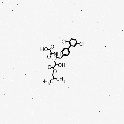 CC(C)COC(=O)[C@H](O)C[C@@H](Cc1ccc(-c2cc(Cl)ccc2Cl)cc1)NC(=O)C(=O)O